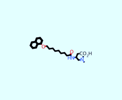 CN(C)CC(CC(=O)O)NC(=O)CCCCCCCCOc1cccc2ccccc12